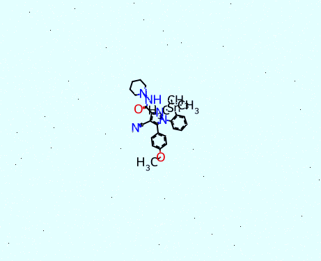 COc1ccc(-c2c(C#N)c(C(=O)NN3CCCCC3)nn2-c2cccc[c]2[Sn]([CH3])([CH3])[CH3])cc1